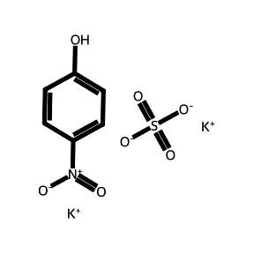 O=S(=O)([O-])[O-].O=[N+]([O-])c1ccc(O)cc1.[K+].[K+]